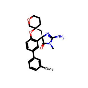 COc1cccc(-c2ccc3c(c2)[C@]2(C[C@@]4(CCCOC4)O3)N=C(N)N(C)C2=O)c1